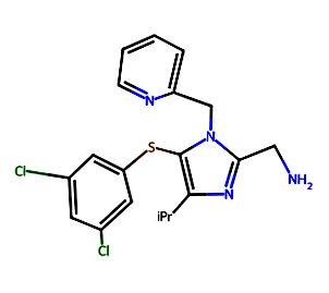 CC(C)c1nc(CN)n(Cc2ccccn2)c1Sc1cc(Cl)cc(Cl)c1